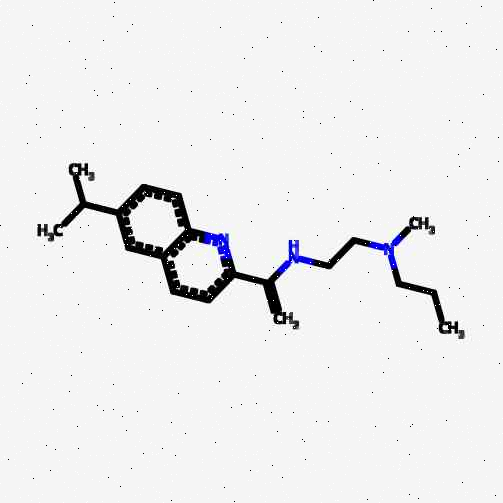 C=C(NCCN(C)CCC)c1ccc2cc(C(C)C)ccc2n1